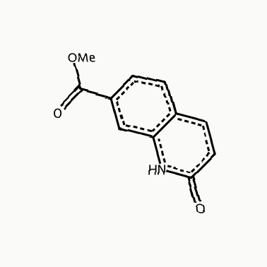 COC(=O)c1ccc2ccc(=O)[nH]c2c1